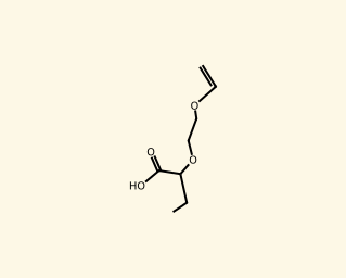 C=COCCOC(CC)C(=O)O